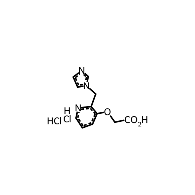 Cl.Cl.O=C(O)COc1cccnc1Cn1ccnc1